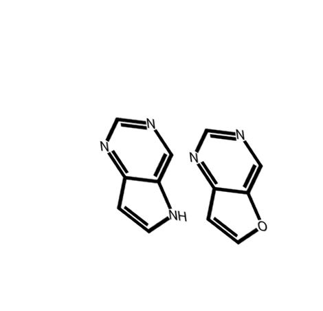 c1ncc2[nH]ccc2n1.c1ncc2occc2n1